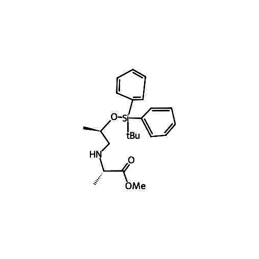 COC(=O)[C@H](C)NC[C@@H](C)O[Si](c1ccccc1)(c1ccccc1)C(C)(C)C